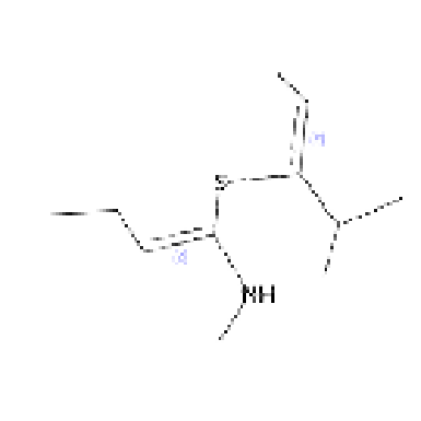 C/C=C(\S/C(=C\CC)NC)C(C)C